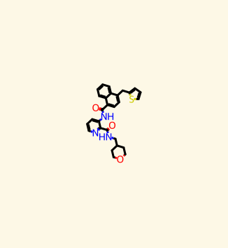 O=C(NCC1CCOCC1)c1ncccc1NC(=O)c1ccc(Cc2cccs2)c2ccccc12